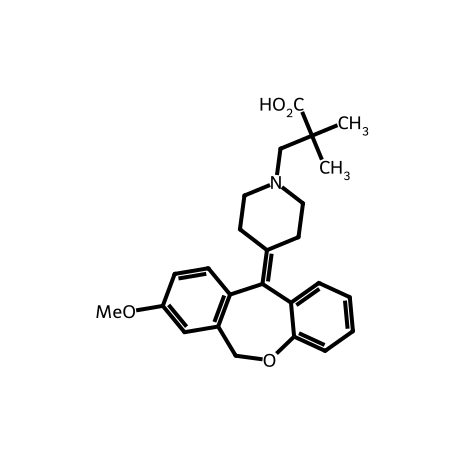 COc1ccc2c(c1)COc1ccccc1C2=C1CCN(CC(C)(C)C(=O)O)CC1